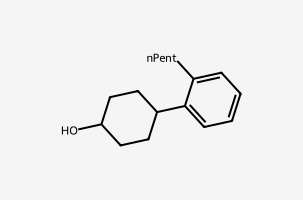 CCCCCc1ccccc1C1CCC(O)CC1